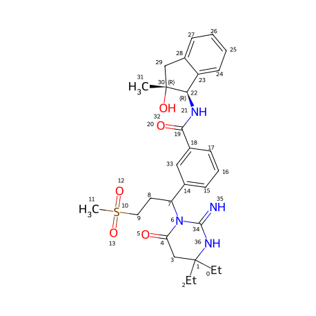 CCC1(CC)CC(=O)N(C(CCS(C)(=O)=O)c2cccc(C(=O)N[C@@H]3c4ccccc4C[C@@]3(C)O)c2)C(=N)N1